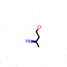 CC(=N)CC[O]